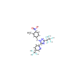 Cc1cc(Cn2nc(C(F)(F)C(F)(F)F)nc2-c2ccc(C(F)(F)F)cn2)ccc1[N+](=O)[O-]